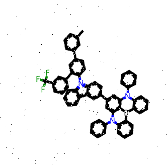 Cc1cccc(-c2ccc(-n3c4ccccc4c4cc(-c5cc6c7c(c5)N(c5ccccc5)c5ccccc5B7c5ccccc5N6c5ccccc5)ccc43)c(-c3cccc(C(F)(F)F)c3)c2)c1